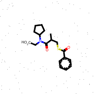 CC(CSC(=O)c1ccccc1)C(=O)N(CC(=O)O)C1CCCC1